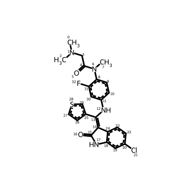 CN(C)CC(=O)N(C)c1ccc(NC(=C2C(=O)Nc3cc(Cl)ccc32)c2ccsc2)cc1F